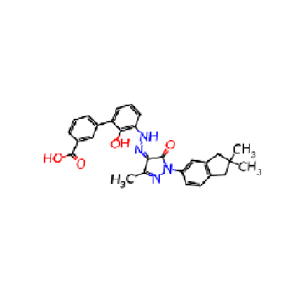 CC1=NN(c2ccc3c(c2)CC(C)(C)C3)C(=O)C1=NNc1cccc(-c2cccc(C(=O)O)c2)c1O